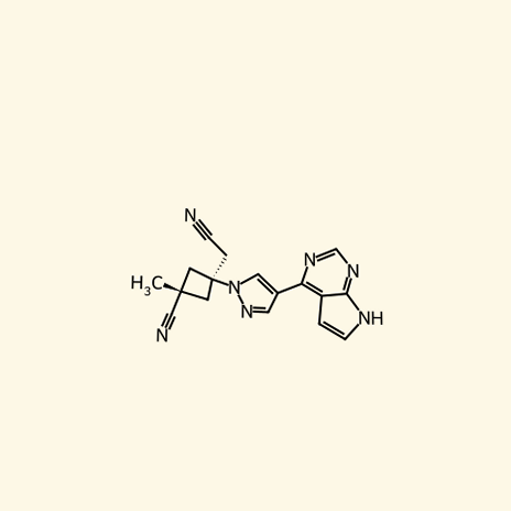 C[C@]1(C#N)C[C@](CC#N)(n2cc(-c3ncnc4[nH]ccc34)cn2)C1